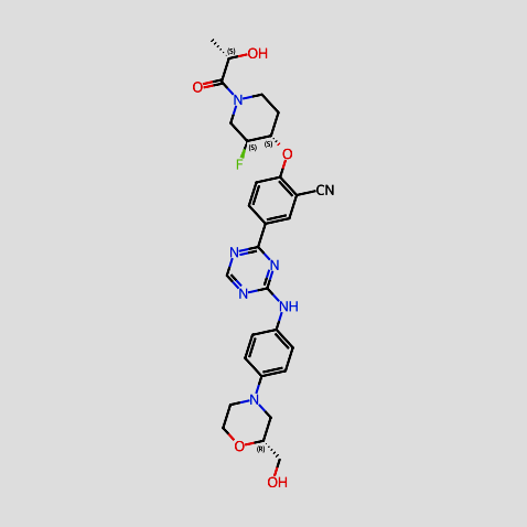 C[C@H](O)C(=O)N1CC[C@H](Oc2ccc(-c3ncnc(Nc4ccc(N5CCO[C@@H](CO)C5)cc4)n3)cc2C#N)[C@@H](F)C1